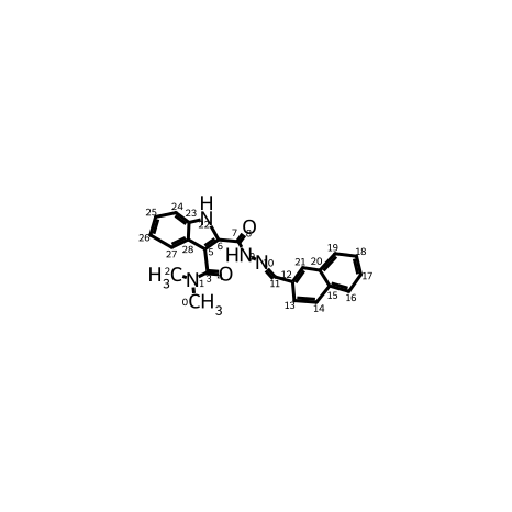 CN(C)C(=O)c1c(C(=O)NN=Cc2ccc3ccccc3c2)[nH]c2ccccc12